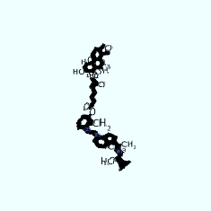 C=C1/C(=C\C=C2/CCC[C@@]3(C)C2CCC3[C@@H](C)/C=C/C(O)C2CC2)CCC[C@@H]1OC(=O)CCCCC(=O)CO[C@H]1[C@]23O[C@H]2CC2C4=C(CC[C@]2(C)[C@@]32O[C@H]2C[C@@]1(O)C(C)C)COC4